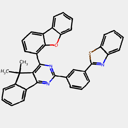 CC1(C)c2ccccc2-c2nc(-c3cccc(-c4nc5ccccc5s4)c3)nc(-c3cccc4c3oc3ccccc34)c21